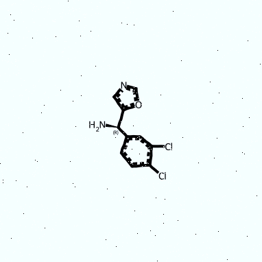 N[C@H](c1ccc(Cl)c(Cl)c1)c1cnco1